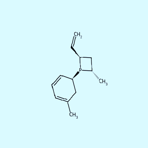 C=C[C@H]1C[C@H](C)P1[C@@H]1C=CC=C(C)C1